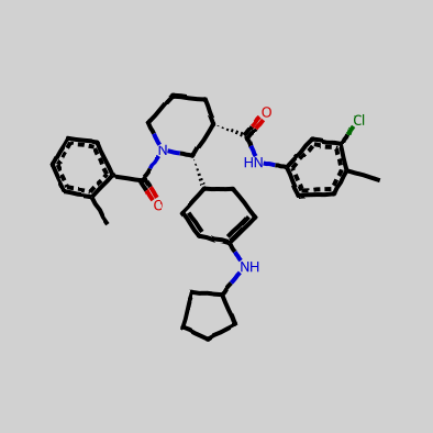 Cc1ccc(NC(=O)[C@H]2CCCN(C(=O)c3ccccc3C)[C@H]2C2C=CC(NC3CCCC3)=CC2)cc1Cl